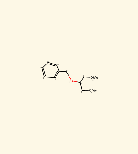 COCC(COC)OCc1ccccc1